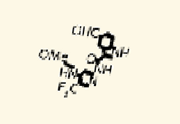 COCCNc1cc(NC(=O)c2c[nH]c3ccc(C=O)cc23)ncc1C(F)(F)F